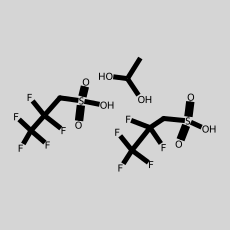 CC(O)O.O=S(=O)(O)CC(F)(F)C(F)(F)F.O=S(=O)(O)CC(F)(F)C(F)(F)F